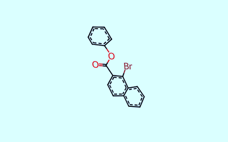 O=C(Oc1ccccc1)c1ccc2ccccc2c1Br